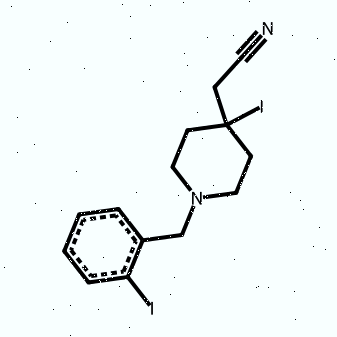 N#CCC1(I)CCN(Cc2ccccc2I)CC1